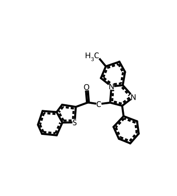 Cc1ccc2nc(-c3ccccc3)c(CC(=O)c3cc4ccccc4s3)n2c1